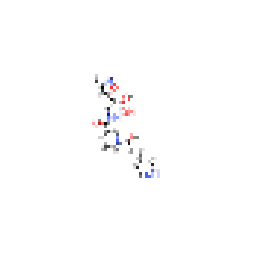 Cc1cc([C@H](CNC(=O)[C@@H]2CCCN(C(=O)CCC3CCNCC3)C2)C(=O)O)on1